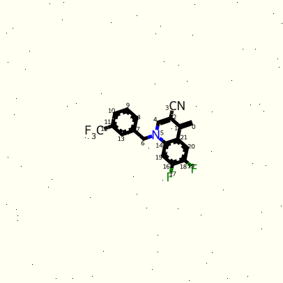 C=C1C(C#N)=CN(Cc2cccc(C(F)(F)F)c2)c2cc(F)c(F)cc21